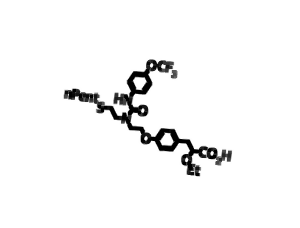 CCCCCSCCN(CCOc1ccc(CC(OCC)C(=O)O)cc1)C(=O)Nc1ccc(OC(F)(F)F)cc1